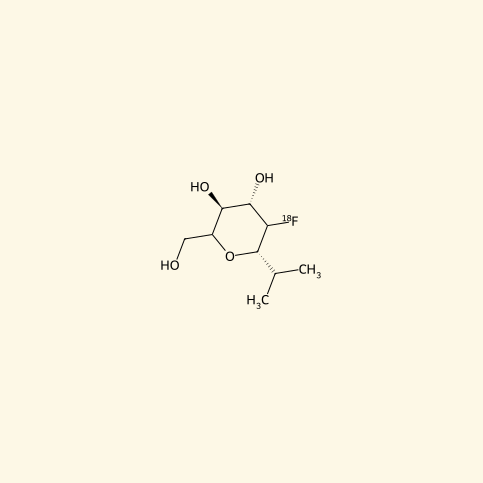 CC(C)[C@@H]1OC(CO)[C@@H](O)[C@H](O)C1[18F]